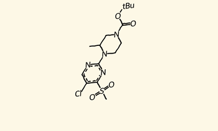 CC1CN(C(=O)OC(C)(C)C)CCN1c1ncc(Cl)c(S(C)(=O)=O)n1